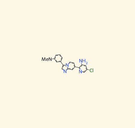 CNc1cccc(-c2cnc3cc(-c4ncc(Cl)cc4N)ccn23)c1